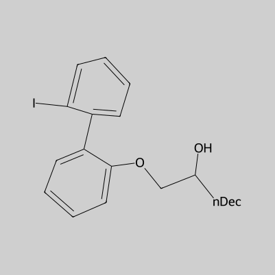 CCCCCCCCCCC(O)COc1ccccc1-c1ccccc1I